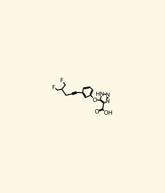 O=C(O)c1nn[nH]c1Oc1cccc(C#CCC(CF)CF)c1